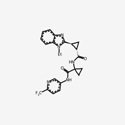 CCn1c([C@H]2C[C@@H]2C(=O)NC2(C(=O)Nc3ccc(C(F)(F)F)nc3)CC2)nc2ccccc21